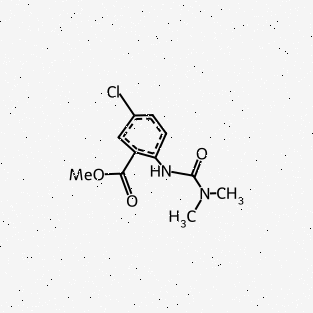 COC(=O)c1cc(Cl)ccc1NC(=O)N(C)C